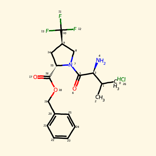 CC(C)[C@H](N)C(=O)N1C[C@H](C(F)(F)F)C[C@H]1C(=O)OCc1ccccc1.Cl